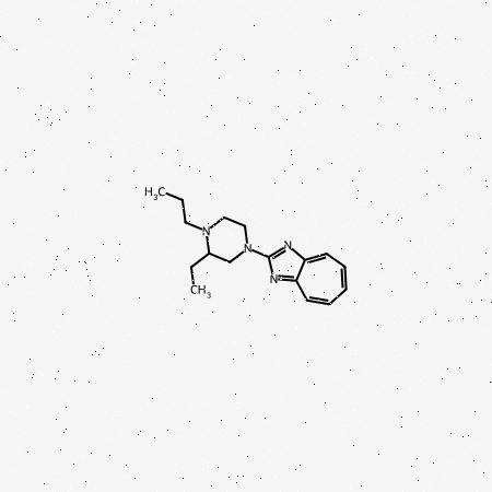 CCCN1CCN(c2nc3cccccc-3n2)CC1CC